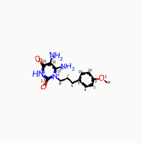 COc1ccc(CCCn2c(N)c(N)c(=O)[nH]c2=O)cc1